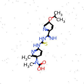 Cc1nc(NC(=S)NC(=N)c2ccc(OC(C)C)cn2)ccc1N(C)C(=O)O